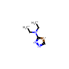 CCN(CC)c1nn[c]s1